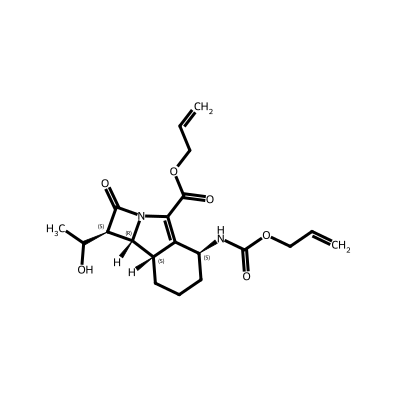 C=CCOC(=O)N[C@H]1CCC[C@H]2C1=C(C(=O)OCC=C)N1C(=O)[C@H](C(C)O)[C@@H]21